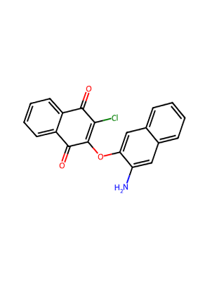 Nc1cc2ccccc2cc1OC1=C(Cl)C(=O)c2ccccc2C1=O